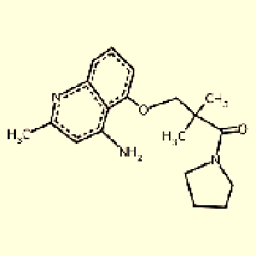 Cc1cc(N)c2c(OCC(C)(C)C(=O)N3CCCC3)cccc2n1